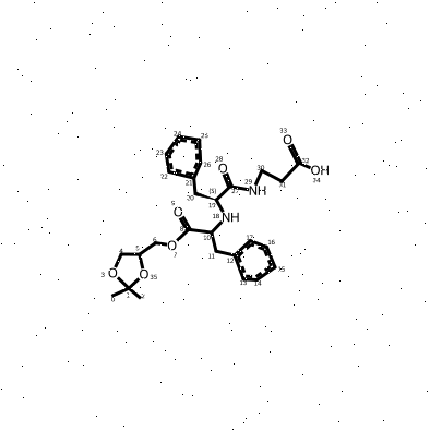 CC1(C)OCC(COC(=O)C(Cc2ccccc2)N[C@@H](Cc2ccccc2)C(=O)NCCC(=O)O)O1